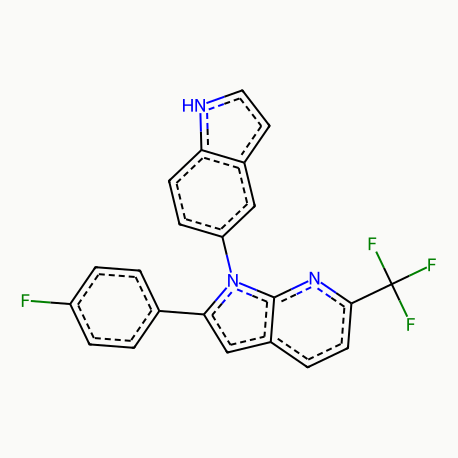 Fc1ccc(-c2cc3ccc(C(F)(F)F)nc3n2-c2ccc3[nH]ccc3c2)cc1